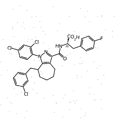 O=C(N[C@H](Cc1ccc(F)cc1)C(=O)O)c1nn(-c2ccc(Cl)cc2Cl)c2c1CCCCC2Cc1cccc(Cl)c1